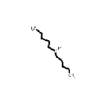 CCCCC[I+]CCCCC.[F-]